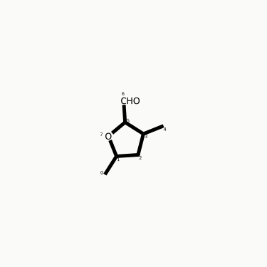 CC1CC(C)C(C=O)O1